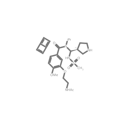 COc1ccc(C(=O)N(C(C)C)C(NS(C)(=O)=O)[C@H]2CCNC2)cc1OCCNC(C)=O.c1cc2ccc1-2